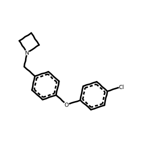 Clc1ccc(Oc2ccc(CN3CCC3)cc2)cc1